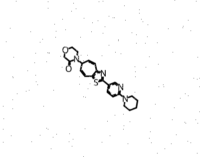 O=C1COCCN1C1C=Cc2nc(-c3ccc(N4CCCCC4)nc3)sc2C=C1